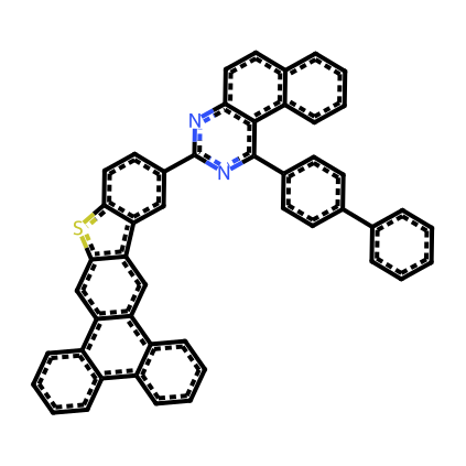 c1ccc(-c2ccc(-c3nc(-c4ccc5sc6cc7c8ccccc8c8ccccc8c7cc6c5c4)nc4ccc5ccccc5c34)cc2)cc1